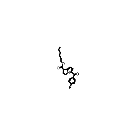 CCCCCCOC(=O)C1CCn2c(C(=O)c3ccc(F)cc3)ccc21